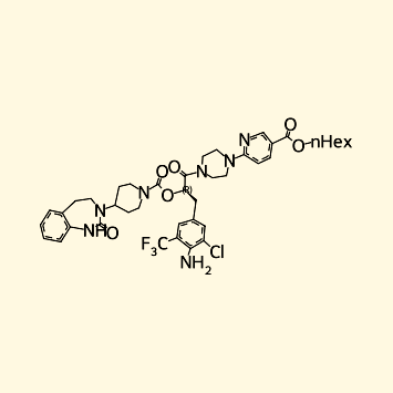 CCCCCCOC(=O)c1ccc(N2CCN(C(=O)[C@@H](Cc3cc(Cl)c(N)c(C(F)(F)F)c3)OC(=O)N3CCC(N4CCc5ccccc5NC4=O)CC3)CC2)nc1